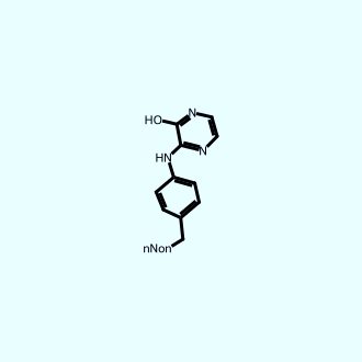 CCCCCCCCCCc1ccc(Nc2nccnc2O)cc1